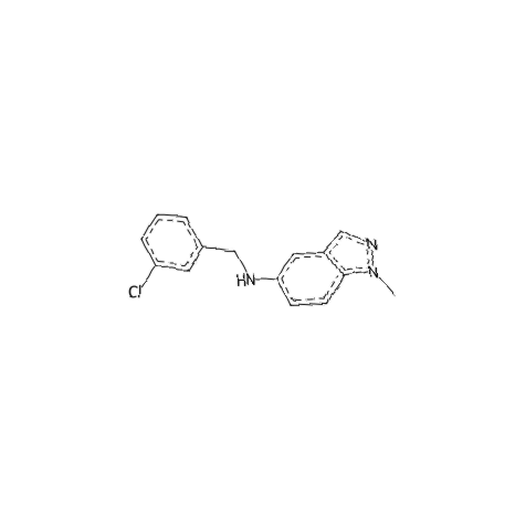 Cn1ncc2cc(NCc3cccc(Cl)c3)ccc21